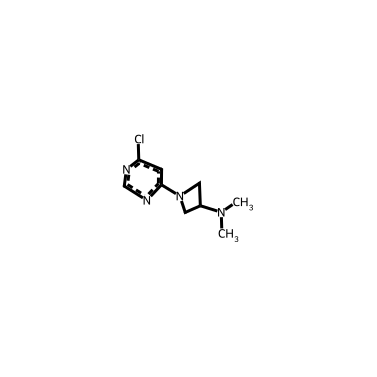 CN(C)C1CN(c2cc(Cl)ncn2)C1